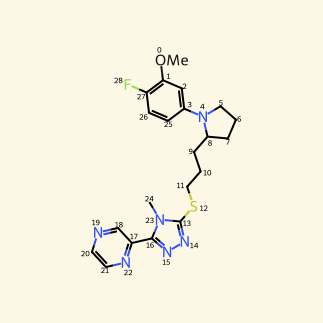 COc1cc(N2CCCC2CCCSc2nnc(-c3cnccn3)n2C)ccc1F